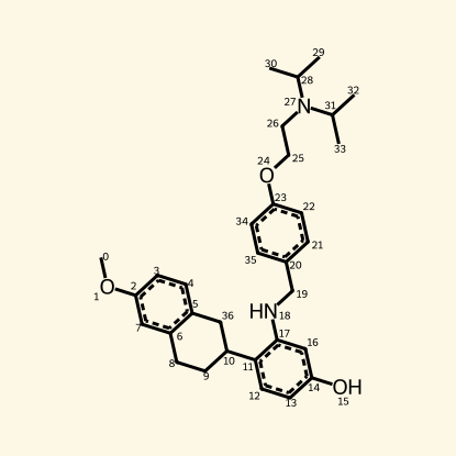 COc1ccc2c(c1)CCC(c1ccc(O)cc1NCc1ccc(OCCN(C(C)C)C(C)C)cc1)C2